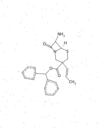 CC=CC1(C(=O)OC(c2ccccc2)c2ccccc2)CS[C@@H]2C(N)C(=O)N2C1